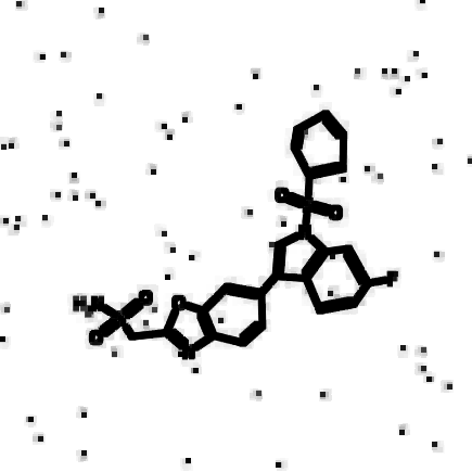 NS(=O)(=O)Cc1nc2ccc(-c3cn(S(=O)(=O)c4ccccc4)c4cc(F)ccc34)cc2o1